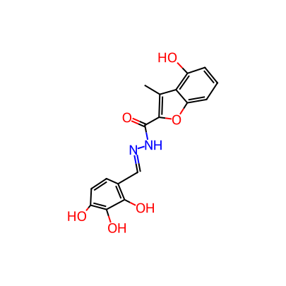 Cc1c(C(=O)N/N=C/c2ccc(O)c(O)c2O)oc2cccc(O)c12